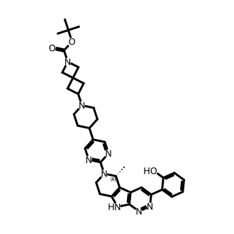 C[C@@H]1c2c([nH]c3nnc(-c4ccccc4O)cc23)CCN1c1ncc(C2CCN(C3CC4(C3)CN(C(=O)OC(C)(C)C)C4)CC2)cn1